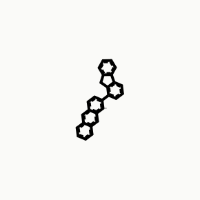 [c]1c(-c2cccc3c2Cc2ccccc2-3)ccc2cc3ccccc3cc12